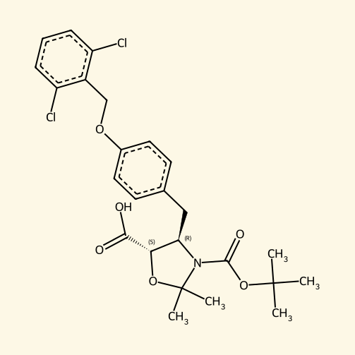 CC(C)(C)OC(=O)N1[C@H](Cc2ccc(OCc3c(Cl)cccc3Cl)cc2)[C@@H](C(=O)O)OC1(C)C